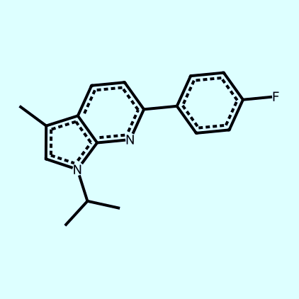 Cc1cn(C(C)C)c2nc(-c3ccc(F)cc3)ccc12